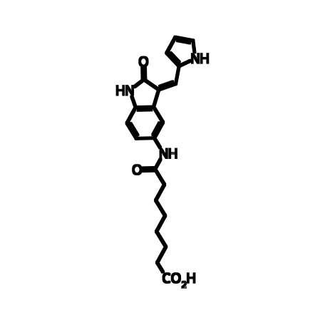 O=C(O)CCCCCCC(=O)Nc1ccc2c(c1)C(=Cc1ccc[nH]1)C(=O)N2